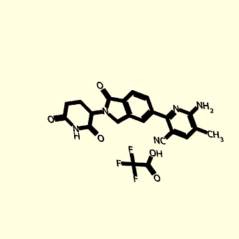 Cc1cc(C#N)c(-c2ccc3c(c2)CN(C2CCC(=O)NC2=O)C3=O)nc1N.O=C(O)C(F)(F)F